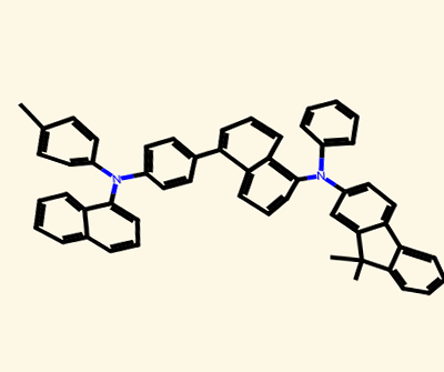 Cc1ccc(N(c2ccc(-c3cccc4c(N(c5ccccc5)c5ccc6c(c5)C(C)(C)c5ccccc5-6)cccc34)cc2)c2cccc3ccccc23)cc1